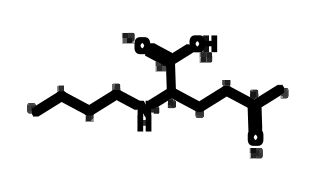 CCCCNC(CCC(C)=O)C(=O)O